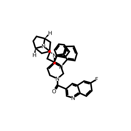 Cc1nc2ccccc2n1[C@H]1C[C@H]2CC[C@@H](C1)N2CCC1(c2ccccc2)CCN(C(=O)c2cnc3ccc(F)cc3c2)CC1